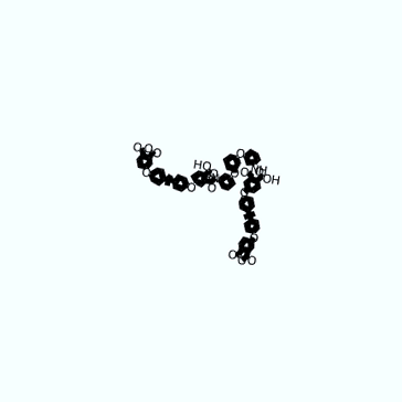 CC(C)(c1ccc(Oc2ccc(C(=O)O)c(C(=O)Nc3cccc(Oc4cccc(Oc5cccc(NC(=O)c6cc(Oc7ccc(C(C)(C)c8ccc(Oc9ccc%10c(c9)C(=O)OC%10=O)cc8)cc7)ccc6C(=O)O)c5)c4)c3)c2)cc1)c1ccc(Oc2ccc3c(c2)C(=O)OC3=O)cc1